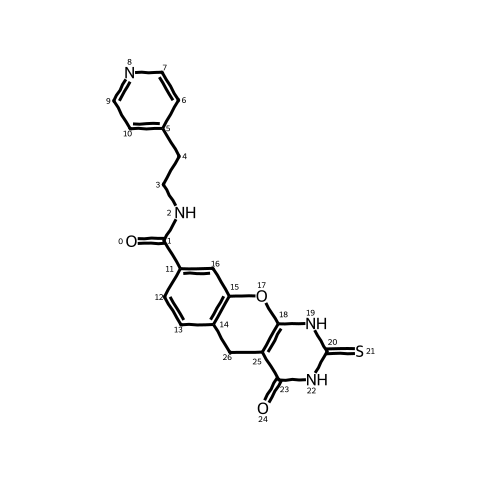 O=C(NCCc1ccncc1)c1ccc2c(c1)Oc1[nH]c(=S)[nH]c(=O)c1C2